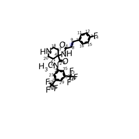 CN(C(=O)C1(NC(=O)/C=C/c2ccc(F)cc2)CCNCC1)c1cc(C(F)(F)F)cc(C(F)(F)F)c1